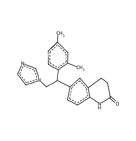 Cc1ccc(C(Cn2ccnc2)c2ccc3c(c2)CCC(=O)N3)c(C)c1